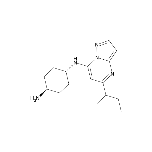 CCC(C)c1cc(N[C@H]2CC[C@H](N)CC2)n2nccc2n1